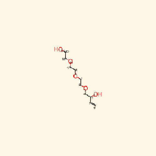 C=CC(O)COCCOCCOCCO